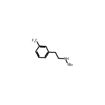 CC(C)(C)NCCc1cccc(C(F)(F)F)c1